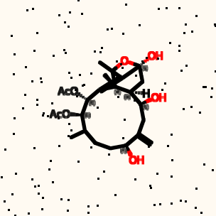 C=C1C[C@H](O)[C@@H]2C[C@]3(O)OC[C@@]2(C)C(=C3C)[C@@H](OC(C)=O)[C@H](OC(C)=O)C(C)CC[C@@H]1O